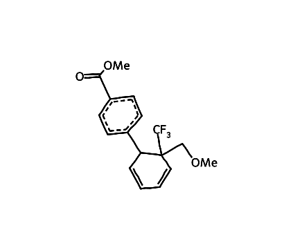 COCC1(C(F)(F)F)C=CC=CC1c1ccc(C(=O)OC)cc1